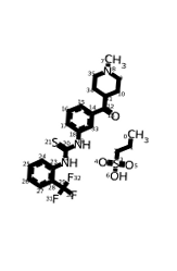 CCCS(=O)(=O)O.CN1CCC(C(=O)c2cccc(NC(=S)Nc3ccccc3C(F)(F)F)c2)CC1